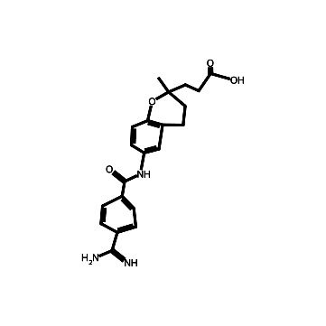 CC1(CCC(=O)O)CCc2cc(NC(=O)c3ccc(C(=N)N)cc3)ccc2O1